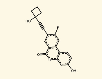 O=c1oc2cc(O)ccc2c2cc(F)c(C#CC3(O)CCC3)cc12